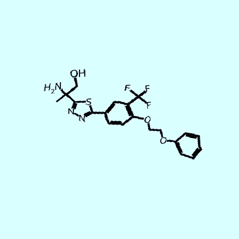 CC(N)(CO)c1nnc(-c2ccc(OCCOc3ccccc3)c(C(F)(F)F)c2)s1